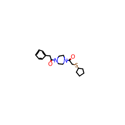 O=C(CSC1CCCC1)N1CCN(C(=O)Cc2ccccc2)CC1